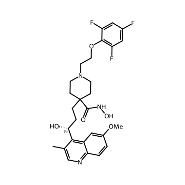 COc1ccc2ncc(C)c([C@H](O)CCC3(C(=O)NO)CCN(CCOc4c(F)cc(F)cc4F)CC3)c2c1